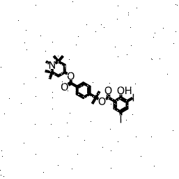 CN1C(C)(C)CC(OC(=O)c2ccc(C(C)(C)OC(=O)c3cc(I)cc(I)c3O)cc2)CC1(C)C